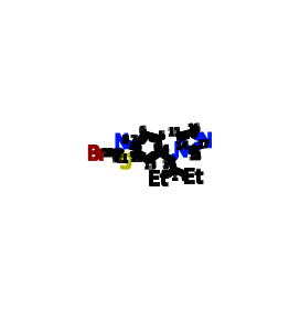 CCC(CC)C(c1ccc2nc(Br)sc2c1)n1ccnc1